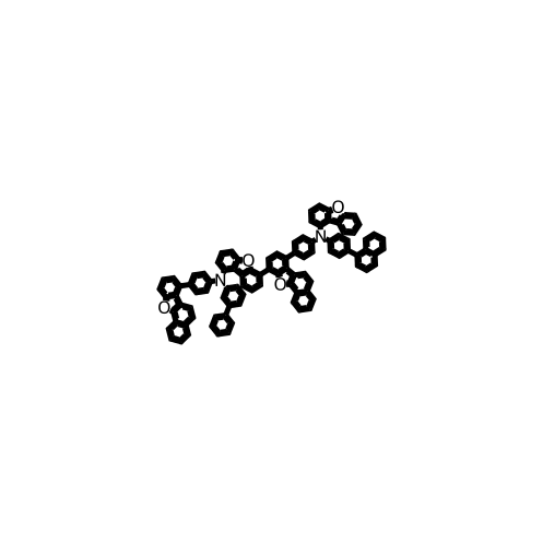 c1ccc(-c2cccc(N(c3ccc(-c4cccc5oc6c7ccccc7ccc6c45)cc3)c3cccc4oc5c(-c6ccc(-c7ccc(N(c8ccc(-c9cccc%10ccccc9%10)cc8)c8cccc9oc%10ccccc%10c89)cc7)c7c6oc6c8ccccc8ccc67)cccc5c34)c2)cc1